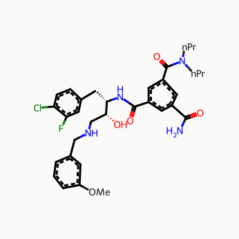 CCCN(CCC)C(=O)c1cc(C(N)=O)cc(C(=O)N[C@@H](Cc2ccc(Cl)c(F)c2)[C@H](O)CNCc2cccc(OC)c2)c1